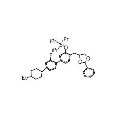 CCC1CCC(c2ccc(-c3ccc(CC4COC(c5ccccc5)O4)c(O[Si](C(C)C)(C(C)C)C(C)C)c3)c(F)c2)CC1